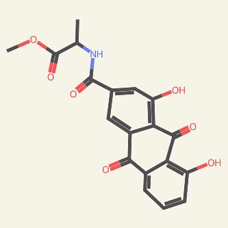 COC(=O)C(C)NC(=O)c1cc(O)c2c(c1)C(=O)c1cccc(O)c1C2=O